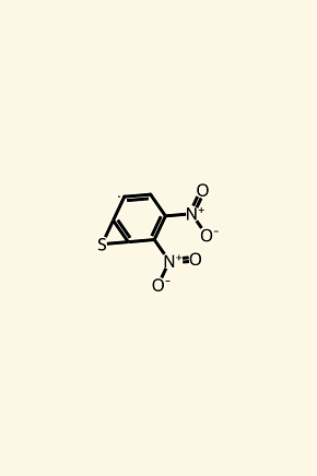 O=[N+]([O-])c1c[c]c2c(c1[N+](=O)[O-])S2